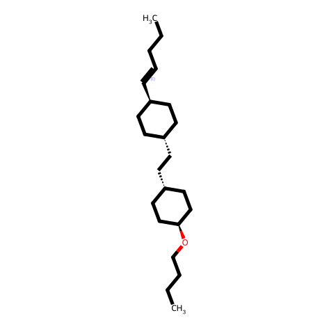 CCC/C=C/[C@H]1CC[C@H](CC[C@H]2CC[C@H](OCCCC)CC2)CC1